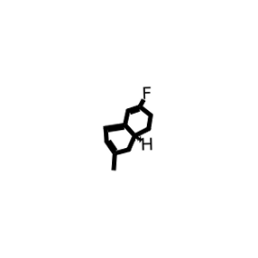 CC1=CC=C2C=C(F)CC[C@@H]2C1